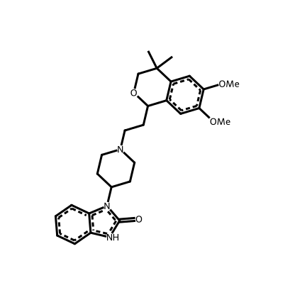 COc1cc2c(cc1OC)C(C)(C)COC2CCN1CCC(n2c(=O)[nH]c3ccccc32)CC1